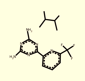 CC(C)C(C)C.Nc1nc(N)nc(-c2cccc(C(F)(F)F)n2)n1